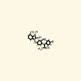 CCCc1nc2c(C(=O)O)cccc2n1Cc1ccc2c(c1)COc1cc(F)ccc1/C2=C(/C)C#N